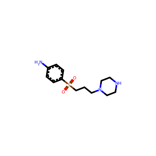 Nc1ccc(S(=O)(=O)CCCN2CCNCC2)cc1